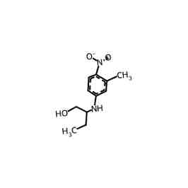 CCC(CO)Nc1ccc([N+](=O)[O-])c(C)c1